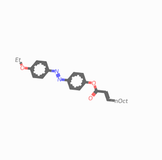 CCCCCCCCC=CC(=O)Oc1ccc(N=Nc2ccc(OCC)cc2)cc1